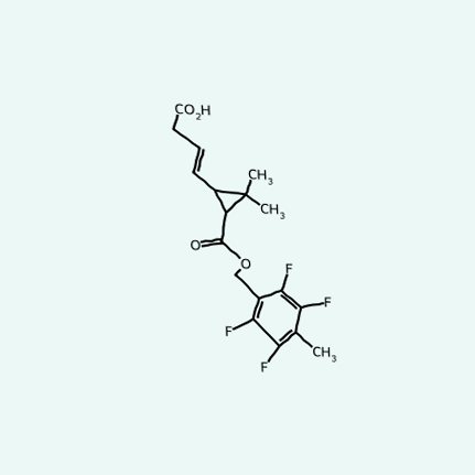 Cc1c(F)c(F)c(COC(=O)C2C(C=CCC(=O)O)C2(C)C)c(F)c1F